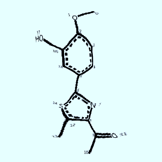 COc1ccc(-c2nc(C(C)=O)c(C)s2)cc1O